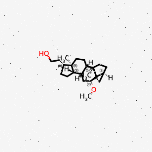 CO[C@@H]1C[C@H]2[C@@H]3CC[C@H](CCO)[C@@]3(C)CC[C@@H]2[C@@]2(C)CC[C@H]3C[C@]312